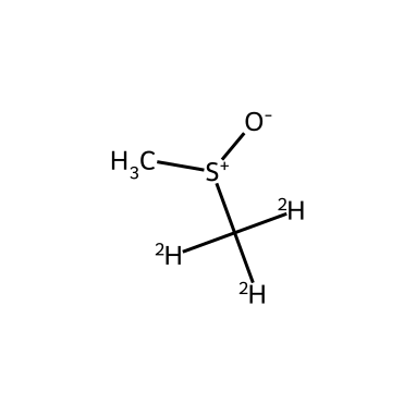 [2H]C([2H])([2H])[S+](C)[O-]